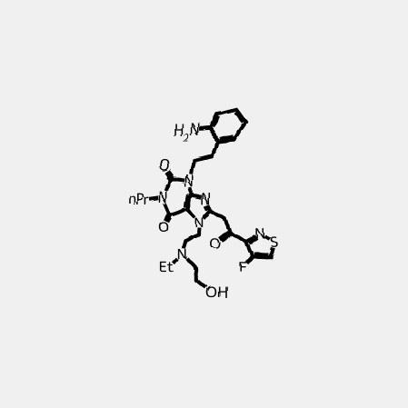 CCCn1c(=O)c2c(nc(CC(=O)c3nscc3F)n2CCN(CC)CCO)n(CCc2ccccc2N)c1=O